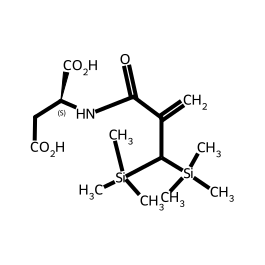 C=C(C(=O)N[C@@H](CC(=O)O)C(=O)O)C([Si](C)(C)C)[Si](C)(C)C